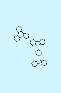 c1ccc2c(c1)c1ccccc1c1cc(-c3ccc4c(c3)c3ccccc3n4-c3ccc(-n4c5ccccc5c5ccccc54)cc3)ccc21